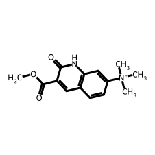 COC(=O)c1cc2ccc([N+](C)(C)C)cc2[nH]c1=O